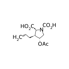 C=CC[C@@H]1[C@@H](OC(C)=O)CN(C(=O)O)[C@@H]1C(=O)O